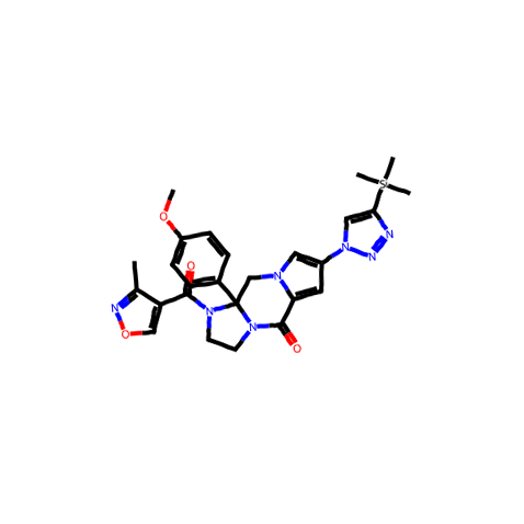 COc1ccc(C23Cn4cc(-n5cc([Si](C)(C)C)nn5)cc4C(=O)N2CCN3C(=O)c2conc2C)cc1